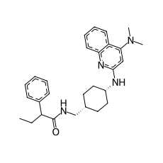 CCC(C(=O)NC[C@H]1CC[C@@H](Nc2cc(N(C)C)c3ccccc3n2)CC1)c1ccccc1